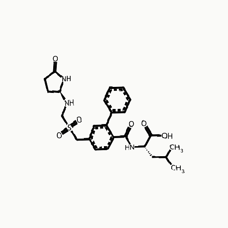 CC(C)C[C@H](NC(=O)c1ccc(CS(=O)(=O)CN[C@H]2CCC(=O)N2)cc1-c1ccccc1)C(=O)O